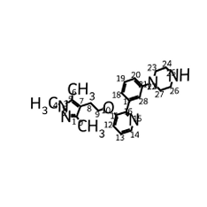 Cc1nn(C)c(C)c1CCOc1cccnc1-c1cccc(N2CCNCC2)c1